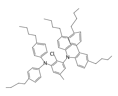 CCCCc1ccc(-c2cc(CCCC)ccc2N(c2ccc(CCCC)cc2)c2cc(C)cc(N(c3ccc(CCCC)cc3)c3ccc(CCCC)cc3)c2Cl)cc1